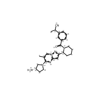 Cc1cn2nc([C@@H]3CCCCN3C(=O)c3cccc(C(C)C#N)c3)cc2nc1N1CC[C@H](N)C1